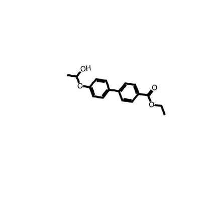 CCOC(=O)c1ccc(-c2ccc(OC(C)O)cc2)cc1